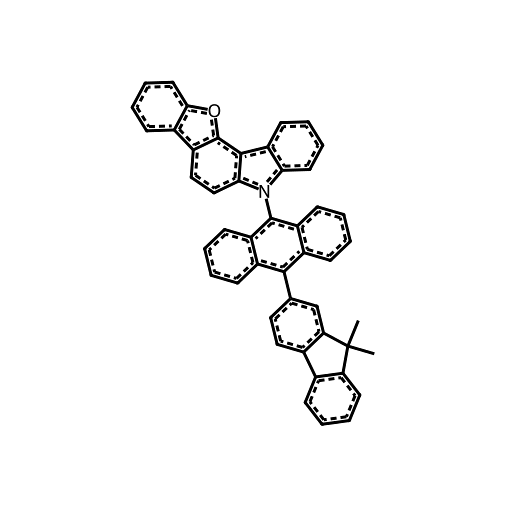 CC1(C)c2ccccc2-c2ccc(-c3c4ccccc4c(-n4c5ccccc5c5c6oc7ccccc7c6ccc54)c4ccccc34)cc21